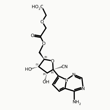 N#C[C@@]1(c2ccc3c(N)ncnn23)O[C@H](COC(=O)COCC(=O)O)[C@@H](O)[C@H]1O